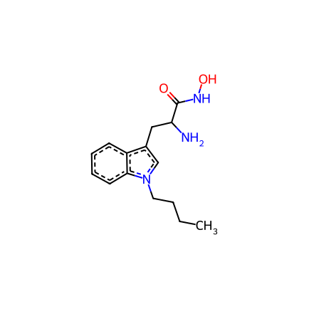 CCCCn1cc(CC(N)C(=O)NO)c2ccccc21